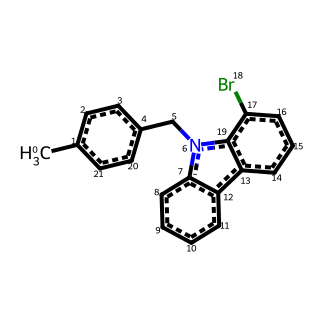 Cc1ccc(Cn2c3ccccc3c3cccc(Br)c32)cc1